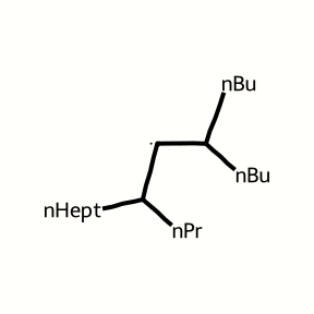 CCCCCCCC([CH]C(CCCC)CCCC)CCC